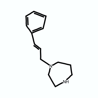 C(=C\c1ccccc1)/CN1CCCNCC1